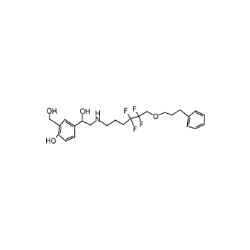 OCc1cc(C(O)CNCCCC(F)(F)C(F)(F)COCCCc2ccccc2)ccc1O